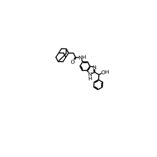 O=C(CC1C2CC3CC(C2)CC1C3)Nc1ccc2[nH]c(C(O)c3ccccc3)nc2c1